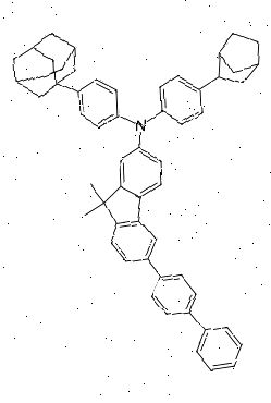 CC1(C)c2ccc(-c3ccc(-c4ccccc4)cc3)cc2-c2ccc(N(c3ccc(C4CC5CCC4C5)cc3)c3ccc(C45CC6CC(CC(C6)C4)C5)cc3)cc21